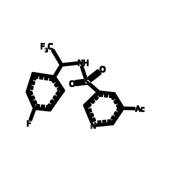 CC(=O)c1cncc(S(=O)(=O)NC(c2ccc(F)cc2)C(F)(F)F)c1